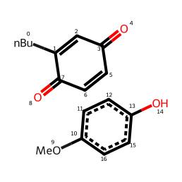 CCCCC1=CC(=O)C=CC1=O.COc1ccc(O)cc1